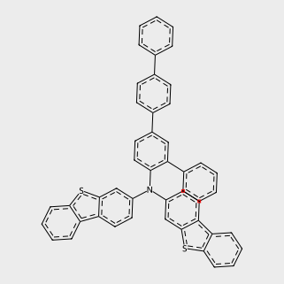 c1ccc(-c2ccc(-c3ccc(N(c4ccc5c(c4)sc4ccccc45)c4ccc5c(c4)sc4ccccc45)c(-c4ccccc4)c3)cc2)cc1